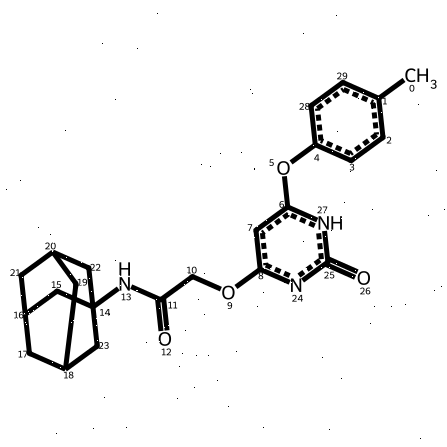 Cc1ccc(Oc2cc(OCC(=O)NC34CC5CC(CC(C5)C3)C4)nc(=O)[nH]2)cc1